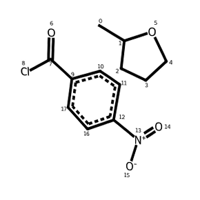 CC1CCCO1.O=C(Cl)c1ccc([N+](=O)[O-])cc1